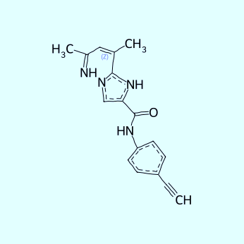 C#Cc1ccc(NC(=O)c2cnc(/C(C)=C\C(C)=N)[nH]2)cc1